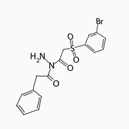 NN(C(=O)Cc1ccccc1)C(=O)CS(=O)(=O)c1cccc(Br)c1